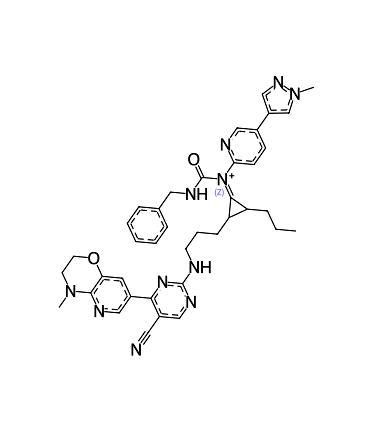 CCCC1/C(=[N+](/C(=O)NCc2ccccc2)c2ccc(-c3cnn(C)c3)cn2)C1CCCNc1ncc(C#N)c(-c2cnc3c(c2)OCCN3C)n1